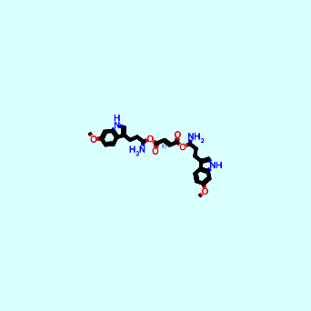 COc1ccc2c(CCC(N)OC(=O)/C=C/C(=O)OC(N)CCc3c[nH]c4cc(OC)ccc34)c[nH]c2c1